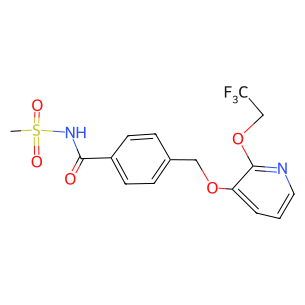 CS(=O)(=O)NC(=O)c1ccc(COc2cccnc2OCC(F)(F)F)cc1